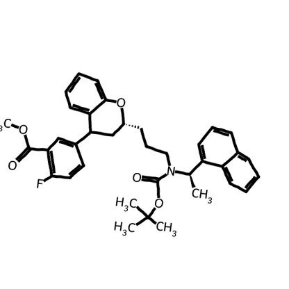 COC(=O)c1cc(C2C[C@@H](CCCN(C(=O)OC(C)(C)C)[C@H](C)c3cccc4ccccc34)Oc3ccccc32)ccc1F